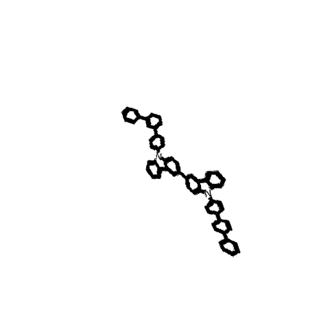 c1ccc(-c2ccc(-c3ccc(-n4c5ccccc5c5cc(-c6ccc7c(c6)c6ccccc6n7-c6ccc(-c7cccc(-c8ccccc8)c7)cc6)ccc54)cc3)cc2)cc1